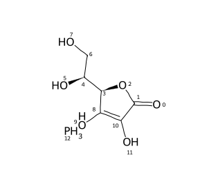 O=C1O[C@H]([C@@H](O)CO)C(O)=C1O.P